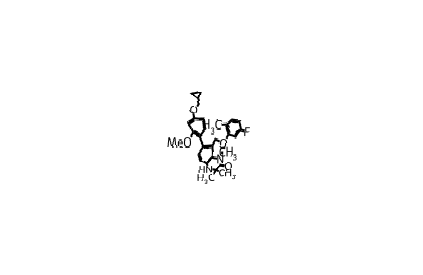 COc1cc(OCC2CC2)ccc1-c1ccc2c(c1COc1cc(F)ccc1C)N(C)C(=O)C(C)(C)N2